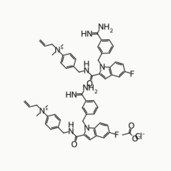 C=CC[N+](C)(C)c1ccc(CNC(=O)c2cc3cc(F)ccc3n2Cc2cccc(C(=N)N)c2)cc1.C=CC[N+](C)(C)c1ccc(CNC(=O)c2cc3cc(F)ccc3n2Cc2cccc(C(=N)N)c2)cc1.CC(=O)[O-].[Cl-]